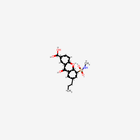 CCCc1cc(S(=O)(=O)NC)c2oc3ccc(C(=O)O)cc3c(=O)c2c1